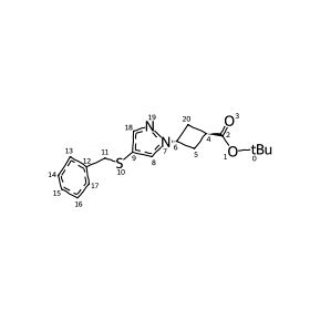 CC(C)(C)OC(=O)[C@H]1C[C@H](n2cc(SCc3ccccc3)cn2)C1